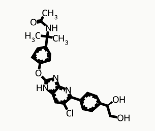 CC(=O)NC(C)(C)c1ccc(Oc2nc3nc(-c4ccc([C@@H](O)CO)cc4)c(Cl)cc3[nH]2)cc1